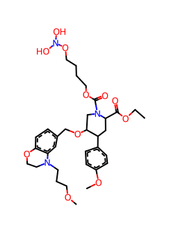 CCOC(=O)C1CC(c2ccc(OC)cc2)C(OCc2ccc3c(c2)N(CCCOC)CCO3)CN1C(=O)OCCCCON(O)O